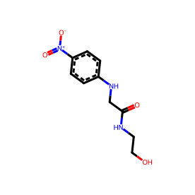 O=C(CNc1ccc([N+](=O)[O-])cc1)NCCO